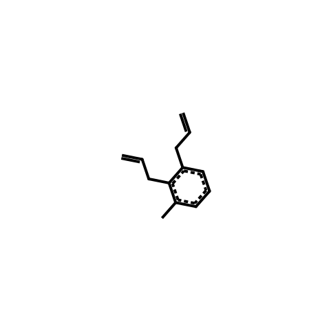 C=CCc1cccc(C)c1CC=C